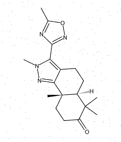 Cc1nc(-c2c3c(nn2C)[C@@]2(C)CCC(=O)C(C)(C)[C@@H]2CC3)no1